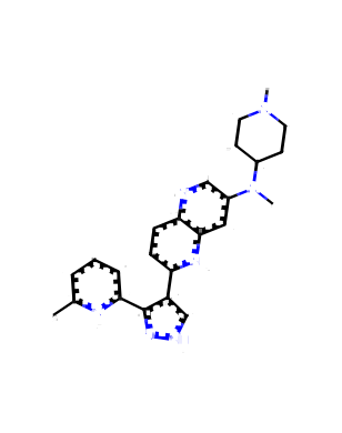 CCN1CCC(N(C)c2cnc3ccc(-c4c[nH]nc4-c4cccc(C)n4)nc3c2)CC1